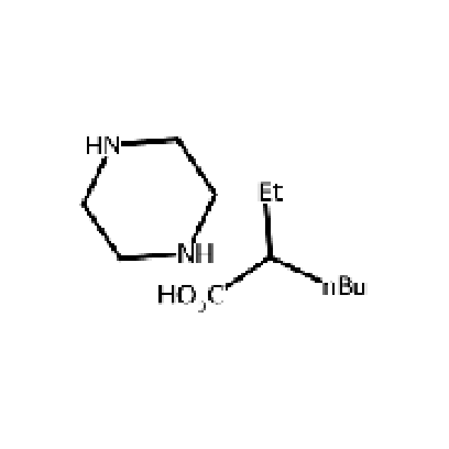 C1CNCCN1.CCCCC(CC)C(=O)O